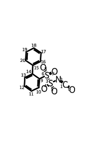 O=C=NS(=O)(=O)S(=O)(=O)c1ccccc1-c1ccccc1